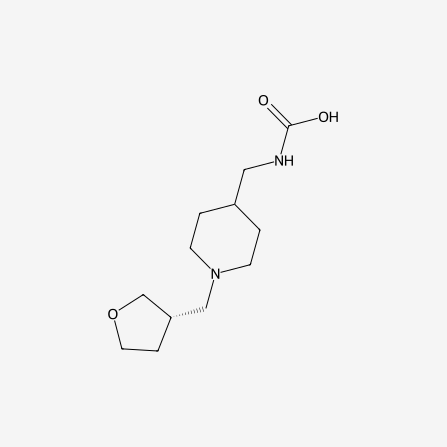 O=C(O)NCC1CCN(C[C@@H]2CCOC2)CC1